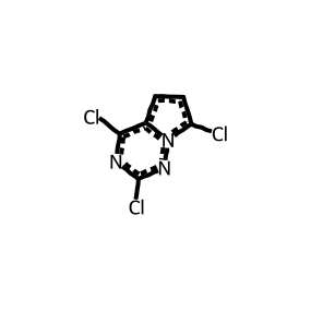 Clc1nc(Cl)c2ccc(Cl)n2n1